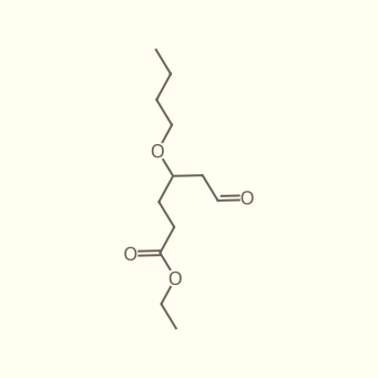 CCCCOC(CC=O)CCC(=O)OCC